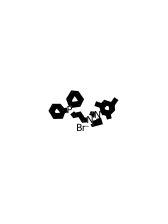 Cc1cc(C)c(-[n+]2ccn(CCCP(c3ccccc3)c3ccccc3)c2)c(C)c1.[Br-]